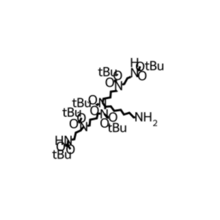 CC(C)(C)OC(=O)NCCCN(CCCCN(C(=O)OC(C)(C)C)C(CCCCCCN)N(CCCCN(CCCNC(=O)OC(C)(C)C)C(=O)OC(C)(C)C)C(=O)OC(C)(C)C)C(=O)OC(C)(C)C